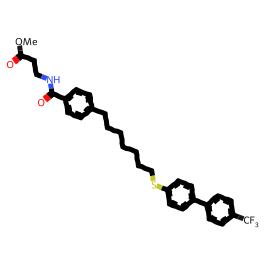 COC(=O)CCNC(=O)c1ccc(CCCCCCCSc2ccc(-c3ccc(C(F)(F)F)cc3)cc2)cc1